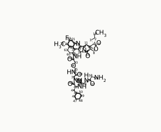 CCCC[C@@H]1C(=O)OCc2c1cc1n(c2=O)Cc2c-1nc1cc(F)c(C)c3c1c2[C@@H](NC(=O)COCNC(=O)CNC(=O)[C@H](Cc1ccccc1)NC(=O)CNC(=O)CN)CC3